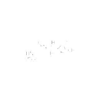 Cc1ccc([C@H]2[C@@H]3CN(C(=O)C4CC5(COC(=O)N5)C4)C[C@@H]32)cc1Cl